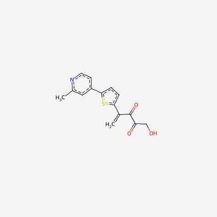 C=C(C(=O)C(=O)CO)c1ccc(-c2ccnc(C)c2)s1